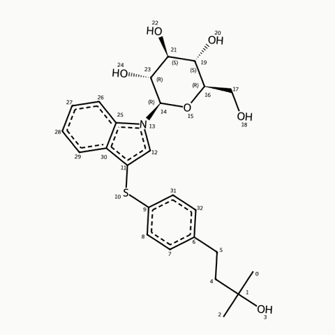 CC(C)(O)CCc1ccc(Sc2cn([C@@H]3O[C@H](CO)[C@@H](O)[C@H](O)[C@H]3O)c3ccccc23)cc1